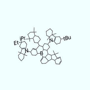 CCC1(C(C)C)CCC2=C(C1)C1(C)CCCCC1(C)N2C1C=C2C(CC1)B1C3=CCCC4C3C(C3CC(N5C6=C(CC(C(C)(C)C)CC6)C6(C)CCCCC56C)CC(C13)C2C1CCC2C(C1)C(C)(C)CCC2(C)C)C1C4C2CC=CC=C2C1(C)C